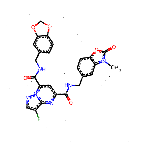 Cn1c(=O)oc2ccc(CNC(=O)c3cc(C(=O)NCc4ccc5c(c4)OCO5)n4ncc(F)c4n3)cc21